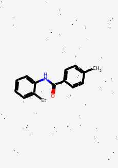 [CH2]c1ccc(C(=O)Nc2ccccc2CC)cc1